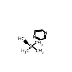 C#C[Si](C)(C)C.c1cnccn1